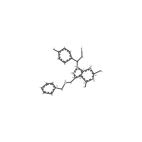 Cc1ccc(C(CF)n2nc(COCc3ccccc3)c3c(C)nc(C)nc32)cc1